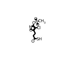 CS(=O)(=O)Oc1noc(CCC(=O)S)c1Cl